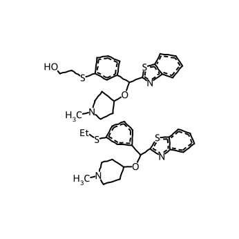 CCSc1cccc(C(OC2CCN(C)CC2)c2nc3ccccc3s2)c1.CN1CCC(OC(c2cccc(SCCO)c2)c2nc3ccccc3s2)CC1